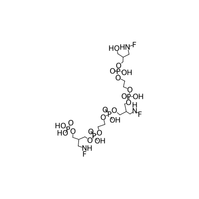 O=P(O)(O)OCC(CNF)COP(=O)(O)OCCOP(=O)(O)OCC(CNF)COP(=O)(O)OCCOP(=O)(O)OCC(CO)CNF